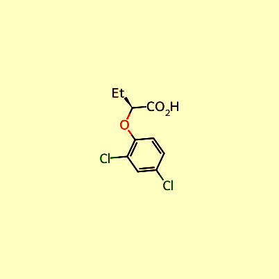 CC[C@H](Oc1ccc(Cl)cc1Cl)C(=O)O